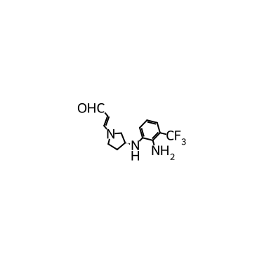 Nc1c(N[C@@H]2CCN(C=CC=O)C2)cccc1C(F)(F)F